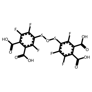 O=C(O)c1c(F)c(F)c(SOSc2c(F)c(F)c(C(=O)O)c(C(=O)O)c2F)c(F)c1C(=O)O